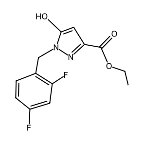 CCOC(=O)c1cc(O)n(Cc2ccc(F)cc2F)n1